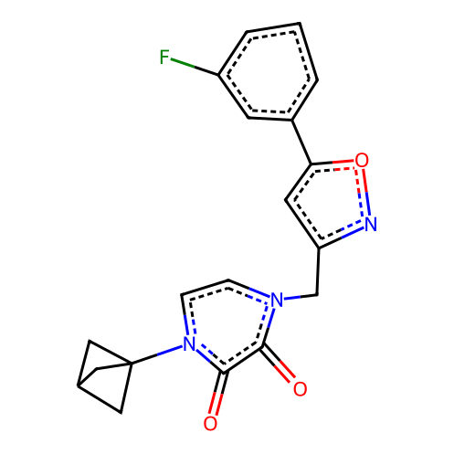 O=c1c(=O)n(C23CC(C2)C3)ccn1Cc1cc(-c2cccc(F)c2)on1